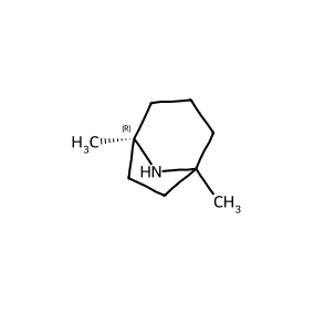 CC12CCC[C@](C)(CC1)N2